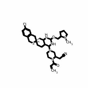 C=CC(=O)N1CCN(C2NC(OCC3CCCN3C)NC3C[C@@]4(CCC32)Cc2cc(Cl)ccc2CS4)CC1CC#N